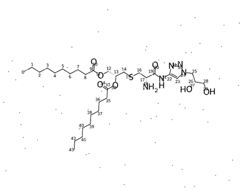 CCCCCCCCCC(=O)OC[C@H](CSC[C@@H](N)C(=O)Nc1cn(C[C@@H](O)CO)nn1)OC(=O)CCCCCCCCC